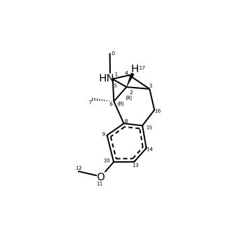 CN[C@@H]1C2CC[C@]1(C)c1cc(OC)ccc1C2